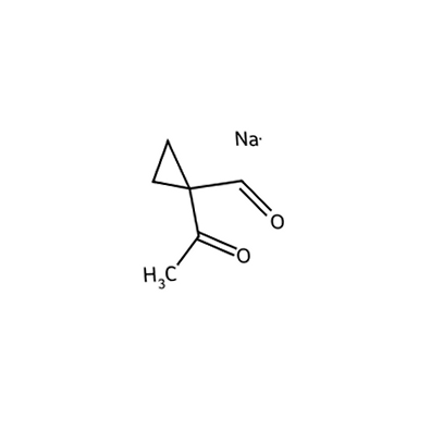 CC(=O)C1(C=O)CC1.[Na]